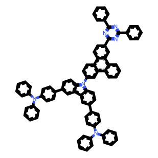 c1ccc(-c2nc(-c3ccccc3)nc(-c3ccc4c5ccc(-n6c7ccc(-c8ccc(N(c9ccccc9)c9ccccc9)cc8)cc7c7cc(-c8ccc(N(c9ccccc9)c9ccccc9)cc8)ccc76)cc5c5ccccc5c4c3)n2)cc1